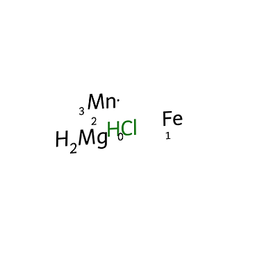 Cl.[Fe].[MgH2].[Mn]